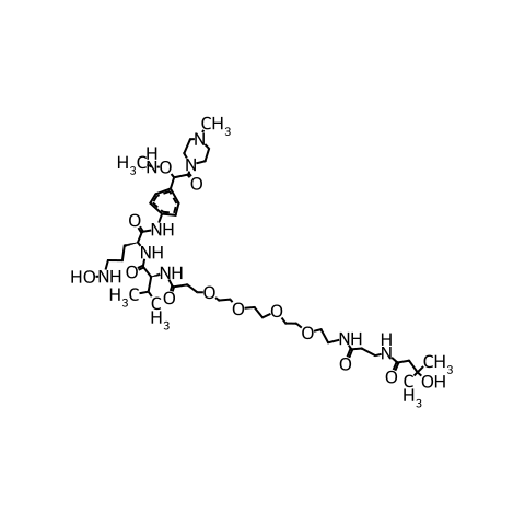 CNOC(C(=O)N1CCN(C)CC1)c1ccc(NC(=O)[C@H](CCCNO)NC(=O)[C@@H](NC(=O)CCOCCOCCOCCOCCNC(=O)CCNC(=O)CC(C)(C)O)C(C)C)cc1